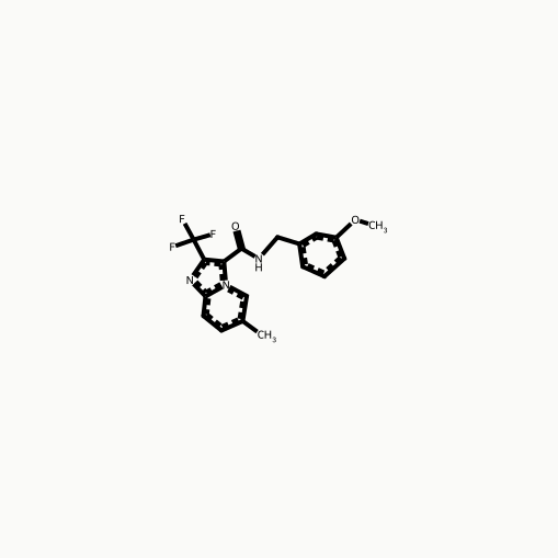 COc1cccc(CNC(=O)c2c(C(F)(F)F)nc3ccc(C)cn23)c1